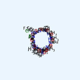 CC[C@H](C)[C@@H]1NC(=O)[C@H](CC(C)C)N(C)C(=O)C[C@@H](C(=O)N2CCCCC2)N(C)C(=O)[C@H](C2CCCCC2)N(C)C(=O)C2(CCCC2)NC(=O)[C@@H]2CC(F)(F)CN2C(=O)[C@H](CCc2ccc(C(F)(F)F)c(Cl)c2)NC(=O)CN(C)C(=O)[C@H](CC2CCCCC2)N(C)C(=O)CN(C)C(=O)CN(C)C1=O